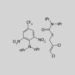 CC(C)N(C(=O)SCC(Cl)=CCl)C(C)C.CCCN(CCC)c1c([N+](=O)[O-])cc(C(F)(F)F)cc1[N+](=O)[O-]